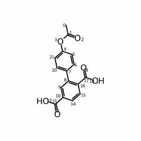 CC(=O)Oc1ccc(-c2cc(C(=O)O)ccc2C(=O)O)cc1